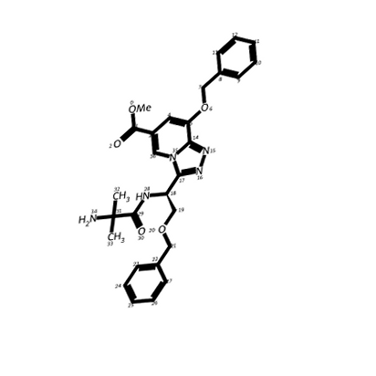 COC(=O)c1cc(OCc2ccccc2)c2nnc([C@@H](COCc3ccccc3)NC(=O)C(C)(C)N)n2c1